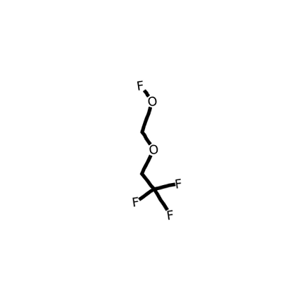 FOCOCC(F)(F)F